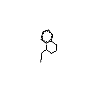 FCC1CCCc2ccccc21